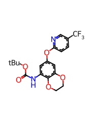 CC(C)(C)OC(=O)Nc1cc(Oc2ccc(C(F)(F)F)cn2)cc2c1OCCO2